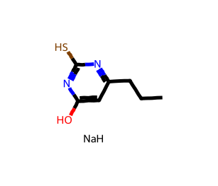 CCCc1cc(O)nc(S)n1.[NaH]